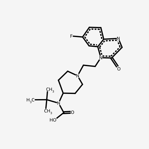 CC(C)(C)N(C(=O)O)C1CCN(CCn2c(=O)cnc3ccc(F)cc32)CC1